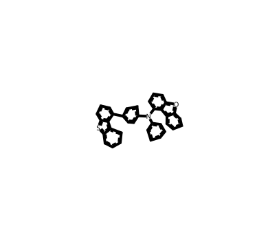 c1ccc(N(c2ccc(-c3cccc4sc5ccccc5c34)cc2)c2cccc3oc4ccccc4c23)cc1